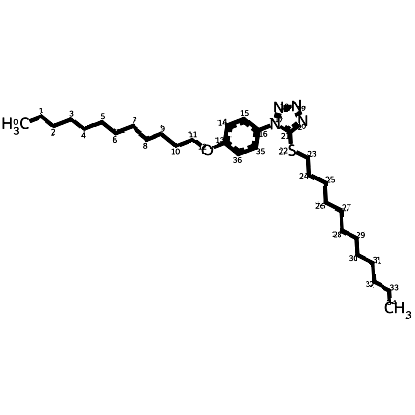 CCCCCCCCCCCCOc1ccc(-n2nnnc2SCCCCCCCCCCCC)cc1